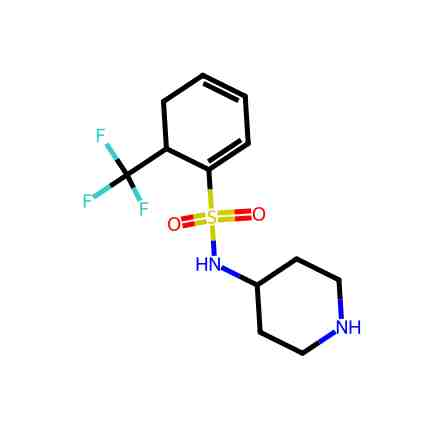 O=S(=O)(NC1CCNCC1)C1=CC=CCC1C(F)(F)F